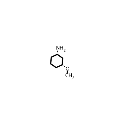 CO[C@@H]1CCC[C@H](N)C1